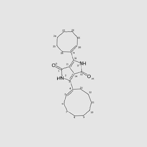 O=C1NC(/C2=C/CCCCCCCC2)=C2C(=O)NC(/C3=C/CCCCCC3)=C12